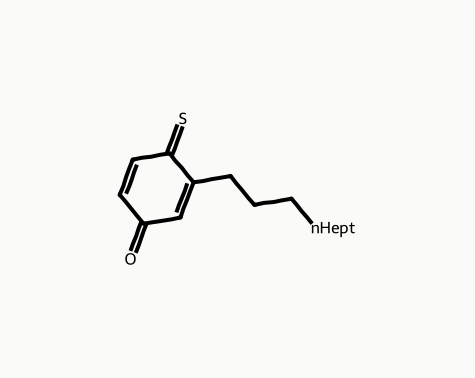 CCCCCCCCCCC1=CC(=O)C=CC1=S